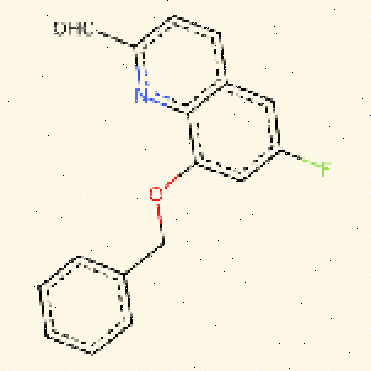 O=Cc1ccc2cc(F)cc(OCc3ccccc3)c2n1